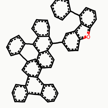 c1ccc(-c2cccc3oc4ccc(-c5c6ccccc6c(-c6ccccc6-c6ccc7c8ccccc8c8ccccc8c7c6)c6ccccc56)cc4c23)cc1